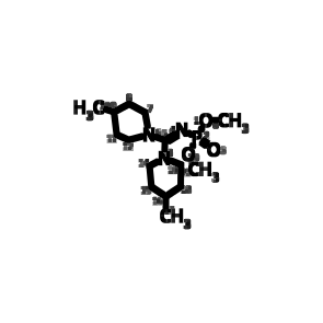 COP(=O)(N=C(N1CCC(C)CC1)N1CCC(C)CC1)OC